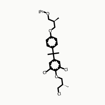 CC(C)OC[C@@H](C)COc1ccc(C(C)(C)c2cc(Cl)c(OC[C@H](C)CCl)c(Cl)c2)cc1